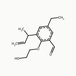 C=CC(C)c1cc(CC)cc(C=O)c1OCCO